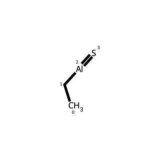 C[CH2][Al]=[S]